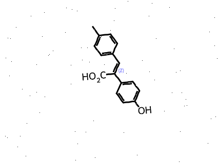 Cc1ccc(/C=C(\C(=O)O)c2ccc(O)cc2)cc1